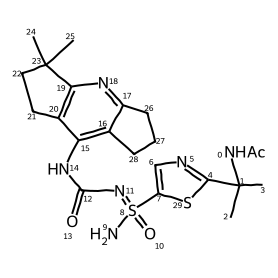 CC(=O)NC(C)(C)c1ncc(S(N)(=O)=NC(=O)Nc2c3c(nc4c2CCC4(C)C)CCC3)s1